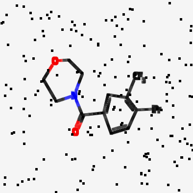 CC(C)c1ccc(C(=O)N2CCOCC2)cc1C(F)(F)F